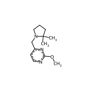 COc1nccc(CN2CCCC2(C)C)n1